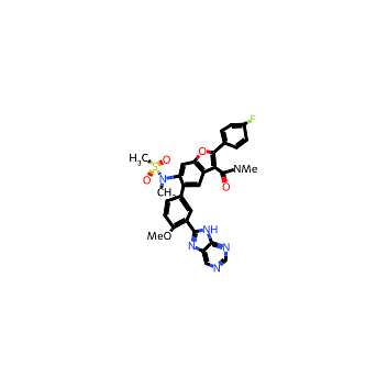 CNC(=O)c1c(-c2ccc(F)cc2)oc2cc(N(C)S(C)(=O)=O)c(-c3ccc(OC)c(-c4nc5cncnc5[nH]4)c3)cc12